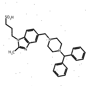 Cc1nc2cc(CN3CCN(C(c4ccccc4)c4ccccc4)CC3)ccc2n1CCCS(=O)(=O)O